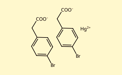 O=C([O-])Cc1ccc(Br)cc1.O=C([O-])Cc1ccc(Br)cc1.[Hg+2]